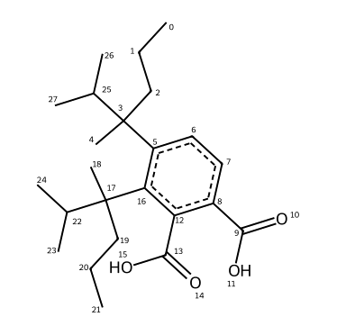 CCCC(C)(c1ccc(C(=O)O)c(C(=O)O)c1C(C)(CCC)C(C)C)C(C)C